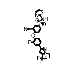 CCn1nc(-c2ccc(Oc3ccc(S(=O)(=O)Nc4nccs4)cc3C#N)c(F)c2)cc1C(F)(F)F